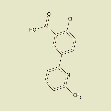 Cc1cccc(-c2ccc(Cl)c(C(=O)O)c2)n1